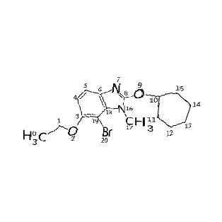 CCOc1ccc2nc(OC3CCCCC3)n(C)c2c1Br